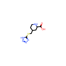 O=C(O)C1CC(CSc2nnn[nH]2)CCN1